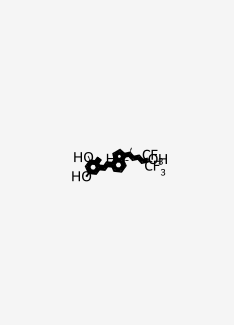 C=C1/C(=C\C=C2/CCC[C@]3(C)C([C@H](C)CCCC(O)(C(F)(F)F)C(F)(F)F)CC[C@@H]23)C[C@@H](O)C[C@@H]1O